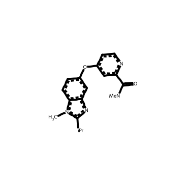 CNC(=O)c1cc(Oc2ccc3c(c2)nc(C(C)C)n3C)ccn1